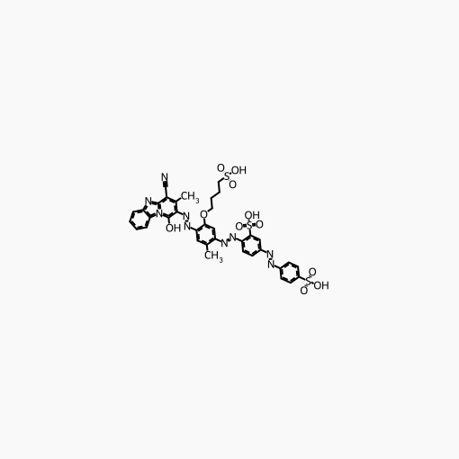 Cc1cc(N=Nc2c(C)c(C#N)c3nc4ccccc4n3c2O)c(OCCCCS(=O)(=O)O)cc1N=Nc1ccc(N=Nc2ccc(S(=O)(=O)O)cc2)cc1S(=O)(=O)O